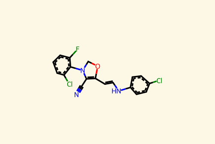 N#CC1=C(C=CNc2ccc(Cl)cc2)OCN1c1c(F)cccc1Cl